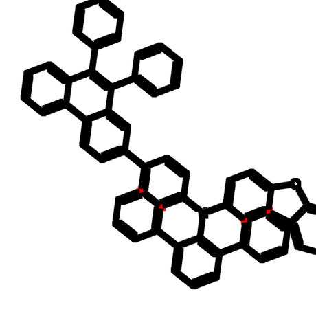 c1ccc(-c2cccc(-c3ccccc3)c2N(c2ccc(-c3ccc4c(c3)c(-c3ccccc3)c(-c3ccccc3)c3ccccc34)cc2)c2ccc3oc4ccccc4c3c2)cc1